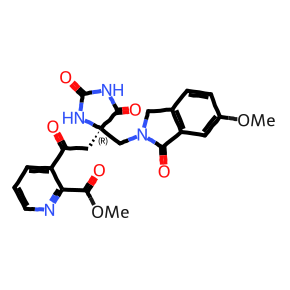 COC(=O)c1ncccc1C(=O)C[C@]1(CN2Cc3ccc(OC)cc3C2=O)NC(=O)NC1=O